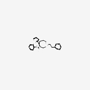 CC(=O)N1c2ccccc2-n2cccc2C12CCCN(CCc1ccccc1)CCC2